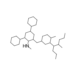 CCCC(C)C(CCC)C1CC(CC2CC(C3CCCCC3)CC(C3CCCCC3)C2NC)CCC1C